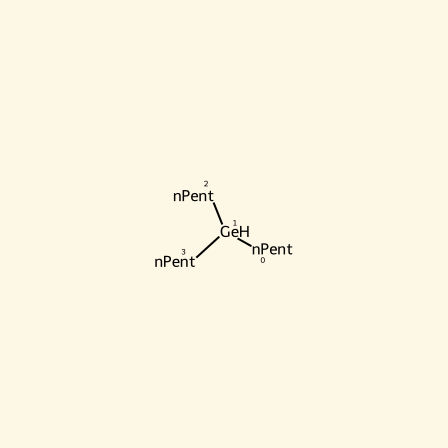 CCCC[CH2][GeH]([CH2]CCCC)[CH2]CCCC